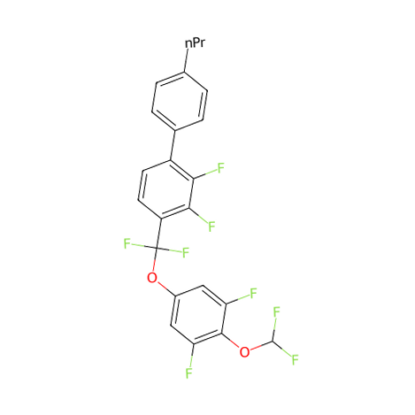 CCCc1ccc(-c2ccc(C(F)(F)Oc3cc(F)c(OC(F)F)c(F)c3)c(F)c2F)cc1